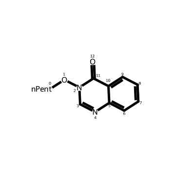 CCCCCOn1cnc2ccccc2c1=O